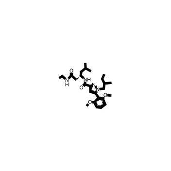 CCNC(=O)C[C@H](CC(C)C)NC(=O)c1cc(-c2c(OC)cccc2OC)n(CC(C)CC)n1